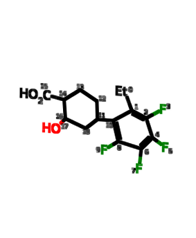 CCc1c(F)c(F)c(F)c(F)c1C1CCC(C(=O)O)C(O)C1